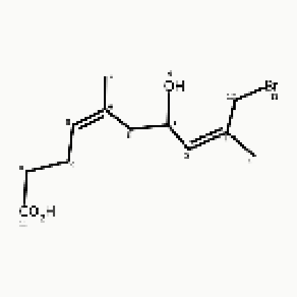 CC(=CC(O)CC(C)=CCCC(=O)O)CBr